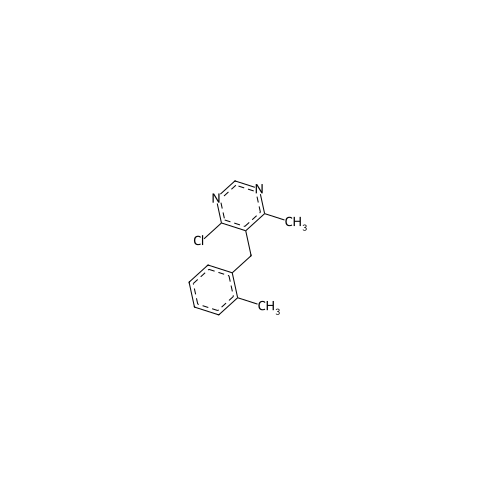 Cc1ccccc1Cc1c(C)ncnc1Cl